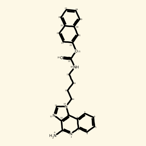 Nc1nc2ccccc2c2c1ncn2CCCCNC(=O)Oc1ccc2ccccc2c1